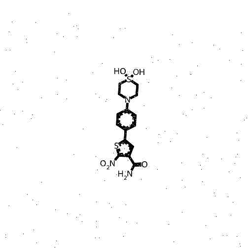 NC(=O)c1cc(-c2ccc(N3CCS(O)(O)CC3)cc2)sc1[N+](=O)[O-]